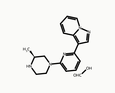 C[C@H]1CN(c2cccc(-c3cnn4ccccc34)n2)CCN1.O=CO